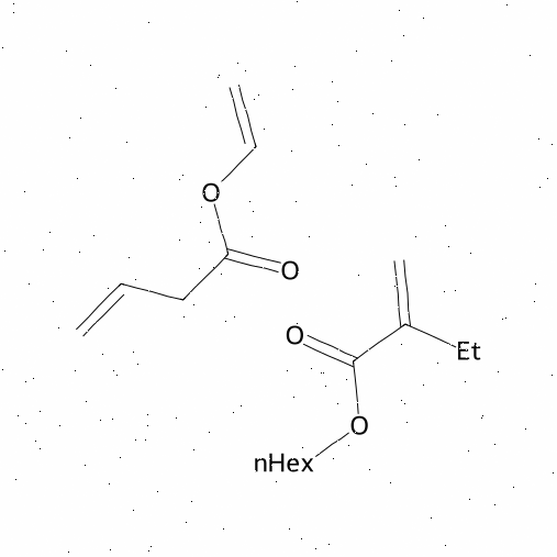 C=C(CC)C(=O)OCCCCCC.C=CCC(=O)OC=C